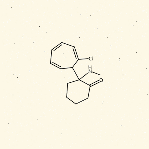 CNC1(C2C=CC=CC=C2Cl)CCCCC1=O